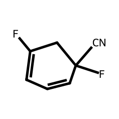 N#CC1(F)C=CC=C(F)C1